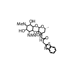 CN[C@@H]1[C@H](O)[C@H](NC)C2O[C@]3(O)C(OC2[C@@H]1O)O[C@H](C)C[C@H]3NC(=O)Cc1nc2ccccc2s1